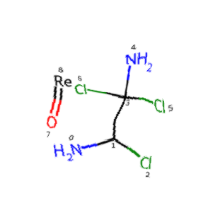 NC(Cl)C(N)(Cl)Cl.[O]=[Re]